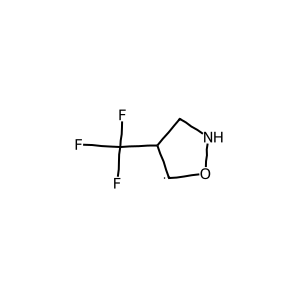 FC(F)(F)C1[CH]ONC1